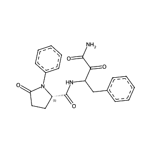 NC(=O)C(=O)C(Cc1ccccc1)NC(=O)[C@@H]1CCC(=O)N1c1ccccc1